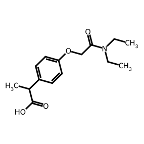 CCN(CC)C(=O)COc1ccc(C(C)C(=O)O)cc1